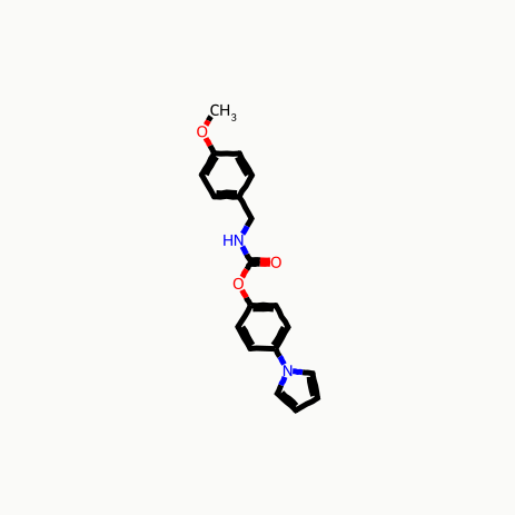 COc1ccc(CNC(=O)Oc2ccc(-n3cccc3)cc2)cc1